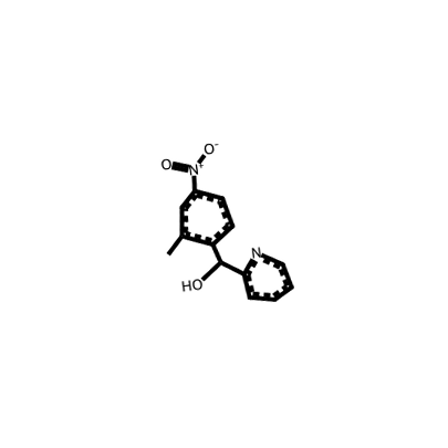 Cc1cc([N+](=O)[O-])ccc1C(O)c1ccccn1